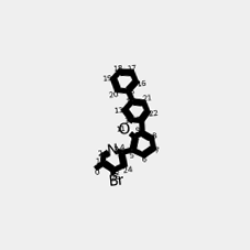 Cc1cnc(-c2cccc3c2oc2cc(-c4ccccc4)ccc23)cc1Br